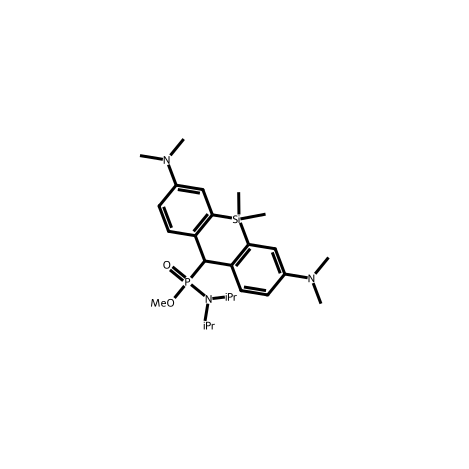 COP(=O)(C1c2ccc(N(C)C)cc2[Si](C)(C)c2cc(N(C)C)ccc21)N(C(C)C)C(C)C